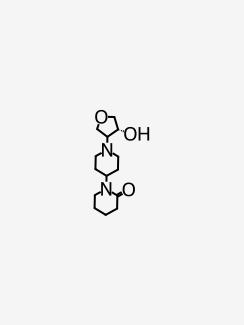 O=C1CCCCN1C1CCN(C2COC[C@@H]2O)CC1